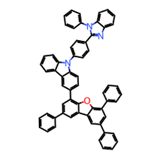 c1ccc(-c2cc(-c3ccccc3)c3oc4c(-c5ccc6c(c5)c5ccccc5n6-c5ccc(-c6nc7ccccc7n6-c6ccccc6)cc5)cc(-c5ccccc5)cc4c3c2)cc1